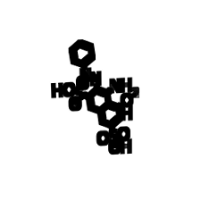 Nc1c(N=Nc2ccccc2)c(S(=O)(=O)O)cc2cc(S(=O)(=O)O)cc(O)c12